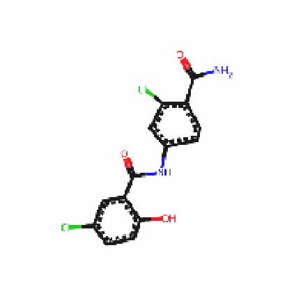 NC(=O)c1ccc(NC(=O)c2cc(Cl)ccc2O)cc1Cl